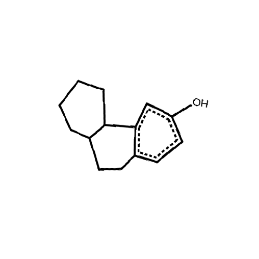 Oc1ccc2c(c1)C1CCCCC1CC2